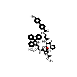 CCCCc1ccc(-c2ccc(C(=O)NCCC(=O)N[C@@H](CCCCNC(=O)OC(C)(C)C)C(=O)N3CCC[C@H]3C(=O)N[C@@H](C)C(=O)N[C@@H](CC(=O)NC(c3ccccc3)(c3ccccc3)c3ccccc3)C(=O)O)cc2)cc1